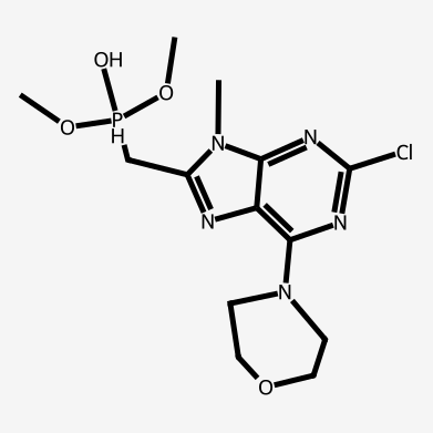 CO[PH](O)(Cc1nc2c(N3CCOCC3)nc(Cl)nc2n1C)OC